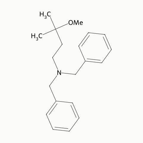 COC(C)(C)CCN(Cc1ccccc1)Cc1ccccc1